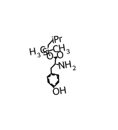 CC(C)C[Si](C)(C)OC(=O)[C@@H](N)Cc1ccc(O)cc1